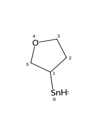 [SnH][CH]1CCOC1